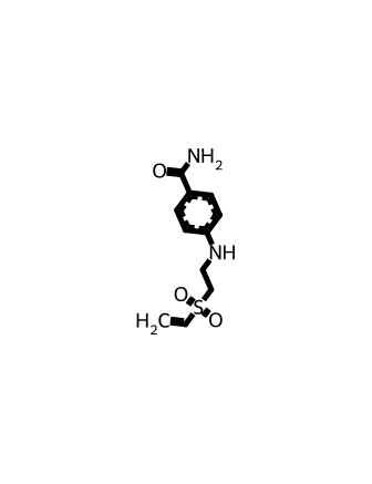 C=CS(=O)(=O)CCNc1ccc(C(N)=O)cc1